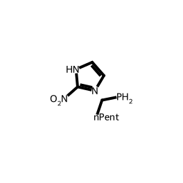 CCCCCCP.O=[N+]([O-])c1ncc[nH]1